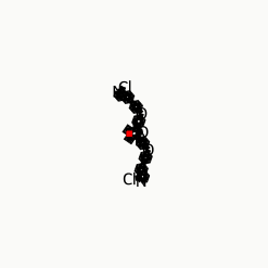 O=C(C(C1CCC1)N1CCC(Oc2ccc(-c3ccc4c(Cl)nccc4c3)cc2)CC1)C(C1CCC1)N1CCC(Oc2ccc(-c3ccc4c(Cl)nccc4c3)cc2)CC1